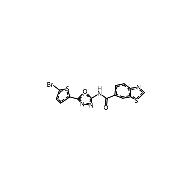 O=C(Nc1nnc(-c2ccc(Br)s2)o1)c1ccc2ncsc2c1